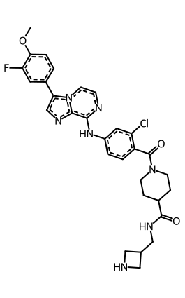 COc1ccc(-c2cnc3c(Nc4ccc(C(=O)N5CCC(C(=O)NCC6CNC6)CC5)c(Cl)c4)nccn23)cc1F